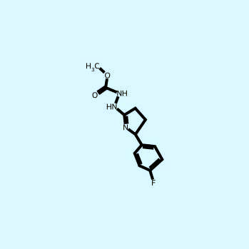 COC(=O)NNC1=NC(c2ccc(F)cc2)CC1